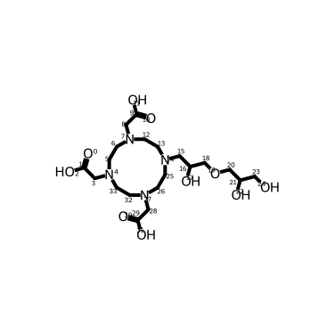 O=C(O)CN1CCN(CC(=O)O)CCN(CC(O)COCC(O)CO)CCN(CC(=O)O)CC1